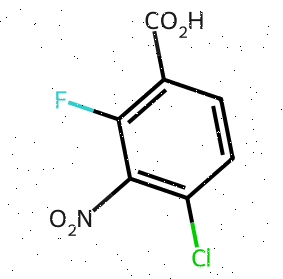 O=C(O)c1ccc(Cl)c([N+](=O)[O-])c1F